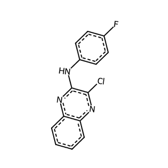 Fc1ccc(Nc2nc3ccccc3nc2Cl)cc1